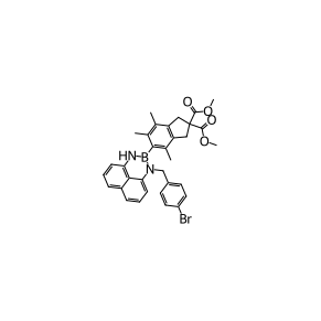 COC(=O)C1(C(=O)OC)Cc2c(C)c(C)c(B3Nc4cccc5cccc(c45)N3Cc3ccc(Br)cc3)c(C)c2C1